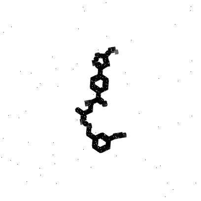 COc1cccc(CON=C(C)CNC(=O)c2ccc(-c3noc(C(F)(F)F)n3)cc2)c1